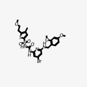 COCCc1sc(S(=O)(=O)NC(=O)Nc2cc(Br)cc(NCc3ccc(OC)cc3OC)n2)cc1C